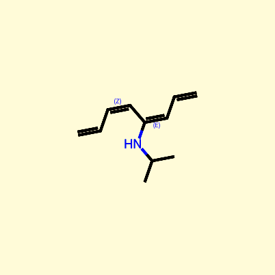 C=C/C=C\C(=C/C=C)NC(C)C